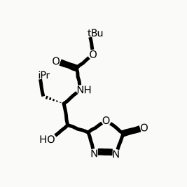 CC(C)C[C@H](NC(=O)OC(C)(C)C)C(O)C1N=NC(=O)O1